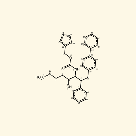 O=C(O)NCC[C@H](O)[C@@H](NC(=O)OCc1cncs1)C(Cc1ccc(-c2ccccn2)cc1)c1ccccc1